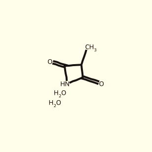 CC1C(=O)NC1=O.O.O